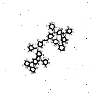 C1=CC(c2ccccc2-c2ccc3c(c2)c2cc(N(c4ccccc4)c4ccc(/C=C/c5ccc(N(c6ccccc6)c6ccc7c(c6)c6cc(-c8ccccc8-c8ccccc8)ccc6n7-c6ccccc6)cc5)cc4)ccc2n3-c2ccccc2)=CCC1